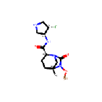 O=C(N[C@H]1CNC[C@@H]1F)[C@@H]1CC[C@@H]2CN1C(=O)N2OS